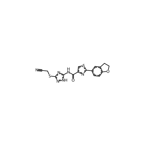 N#CCSc1n[nH]c(NC(=O)c2csc(-c3ccc4c(c3)CCO4)n2)n1